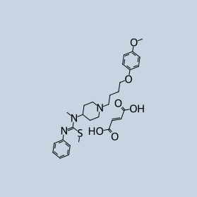 COc1ccc(OCCCCN2CCC(N(C)C(=Nc3ccccc3)SC)CC2)cc1.O=C(O)/C=C/C(=O)O